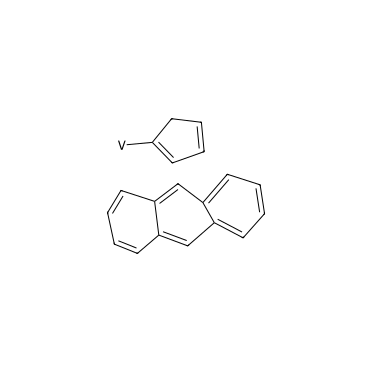 [V][C]1=CC=CC1.c1ccc2cc3ccccc3cc2c1